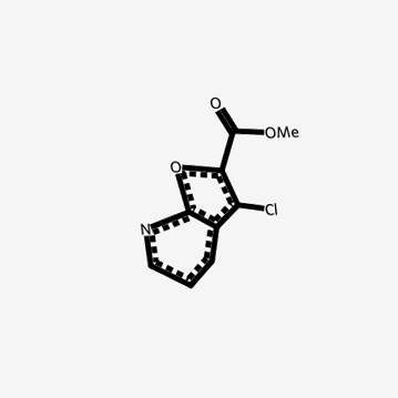 COC(=O)c1oc2ncccc2c1Cl